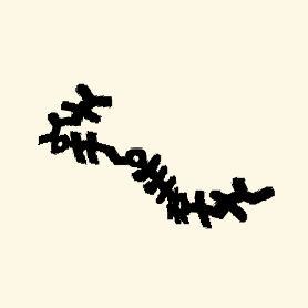 CCC(C)C(C)(C)CC(C)(C)c1cn(C(C)(C)C(C)(C)C(C)(C)OCCC(C)(C)C(C)(C)OC(C)C(C)CC(C)(C)C(C)C)nn1